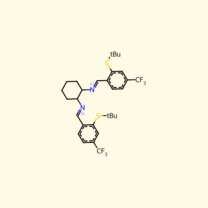 CC(C)(C)Sc1cc(C(F)(F)F)ccc1/C=N/C1CCCCC1/N=C/c1ccc(C(F)(F)F)cc1SC(C)(C)C